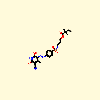 CCC(C)(C)C(=O)OCCCNS(=O)(=O)c1ccc(N=Nc2c(O)[nH]c(=O)c(C#N)c2C)cc1